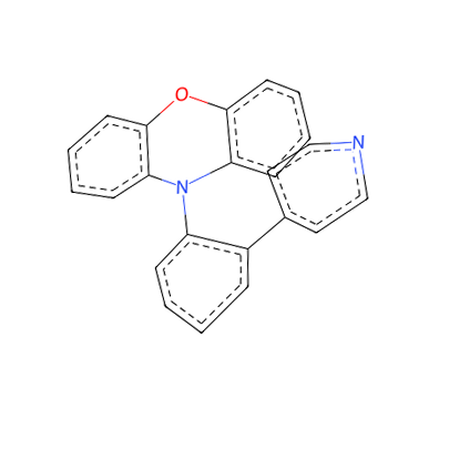 c1ccc2c(c1)Oc1ccccc1N2c1ccccc1-c1ccncc1